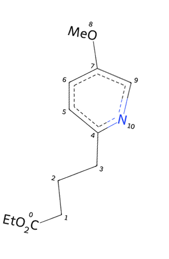 CCOC(=O)CCCc1ccc(OC)cn1